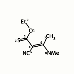 CCOC(=S)C(C#N)=C(C)NC